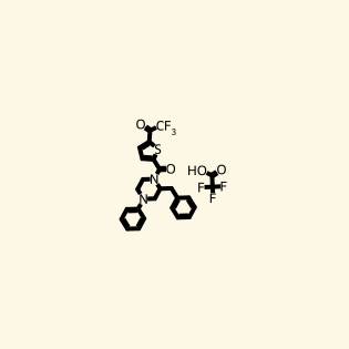 O=C(O)C(F)(F)F.O=C(c1ccc(C(=O)C(F)(F)F)s1)N1CCN(c2ccccc2)CC1Cc1ccccc1